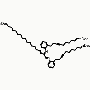 CCCCCCCCCCCCCCCCC#CCCc1ccccc1N=CC(C=CCCCCCCCCCCCCCCCCCCCCCCC)=Nc1ccccc1CCC#CCCCCCCCCCCCCCCCC